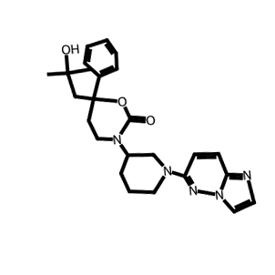 CC(C)(O)CC1(c2ccccc2)CCN(C2CCCN(c3ccc4nccn4n3)C2)C(=O)O1